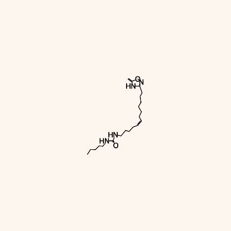 C=C1NC(CCCCCC/C=C\CCCCNC(=O)NCCCCC)=NO1